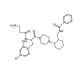 NCCC(=O)NC(Cc1ccc(Cl)cc1Cl)C(=O)N1CCN(C2CCCCC2CNC(=O)c2ccccc2)CC1